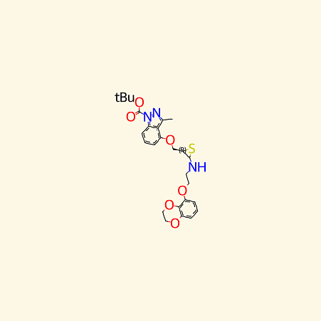 Cc1nn(C(=O)OC(C)(C)C)c2cccc(OC[C@H]3SC3NCCOc3cccc4c3OCCO4)c12